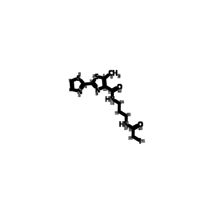 Cc1sc(-c2nccs2)nc1C(=O)NCCCNC(=O)CI